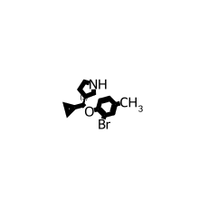 Cc1ccc(OC(C2CC2)[C@H]2CCNC2)c(Br)c1